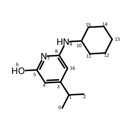 CC(C)c1cc(O)nc(NC2CCCCC2)c1